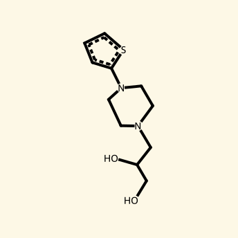 OCC(O)CN1CCN(c2cccs2)CC1